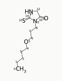 CCCCCOCCCN1C(=O)CNC1=S